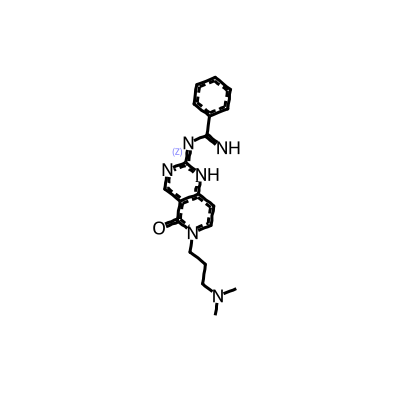 CN(C)CCCn1ccc2[nH]/c(=N\C(=N)c3ccccc3)ncc2c1=O